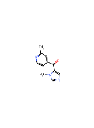 Cc1cc(C(=O)c2cncn2C)ccn1